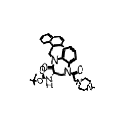 Cc1ccc2ccccc2c1CN1C(=O)[C@@H](NC(=O)OC(C)(C)C)CN(C(=O)CN2CCN(C)CC2)c2ccccc21